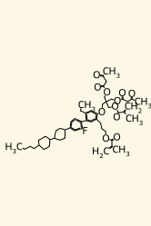 C=C(C)C(=O)OCCCc1cc(-c2ccc(C3CCC(C4CCC(CCCC)CC4)CC3)cc2F)c(CC)cc1OCC(COC(=O)CC(C)=O)(COC(=O)CC(C)=O)COC(=O)C(=C)C